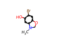 CN1COc2cc(Br)c(O)cc21